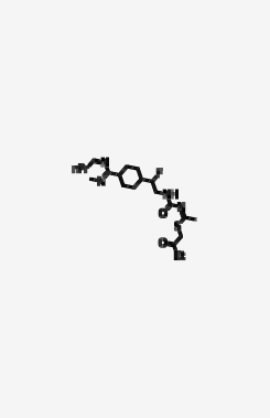 CCC/C=N\C(=N/C)C1CCC(C(F)CNC(=O)/N=C(/C)SCC(=O)CC)CC1